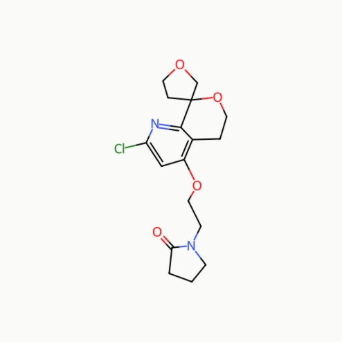 O=C1CCCN1CCOc1cc(Cl)nc2c1CCOC21CCOC1